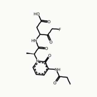 CCC(=O)Nc1cccn([C@@H](C)C(=O)NC(CC(=O)O)C(=O)CF)c1=O